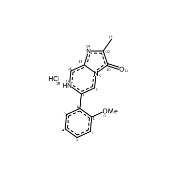 COc1ccccc1-c1cn2c(=O)c(C)nc-2c[nH]1.Cl